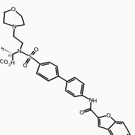 CC(C)[C@@H](C(=O)O)N(CCN1CCOCC1)S(=O)(=O)c1ccc(-c2ccc(NC(=O)c3cc4ccccc4o3)cc2)cc1